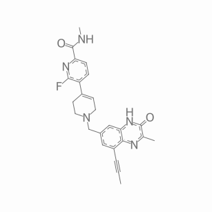 CC#Cc1cc(CN2CC=C(c3ccc(C(=O)NC)nc3F)CC2)cc2[nH]c(=O)c(C)nc12